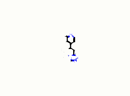 CC(Cc1nncn1C)c1ccnc(C(=O)O)c1